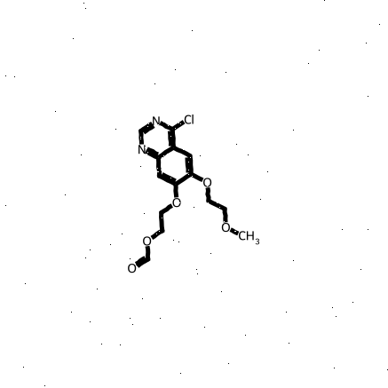 COCCOc1cc2c(Cl)ncnc2cc1OCCOC=O